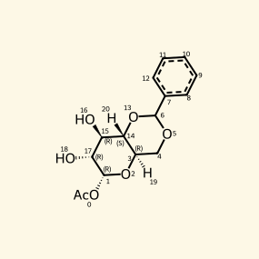 CC(=O)O[C@H]1O[C@@H]2COC(c3ccccc3)O[C@H]2[C@H](O)[C@H]1O